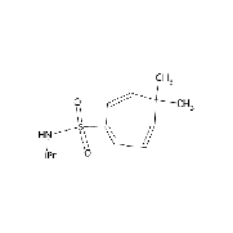 CC(C)NS(=O)(=O)C1=CC=CC(C)(C)C=C1